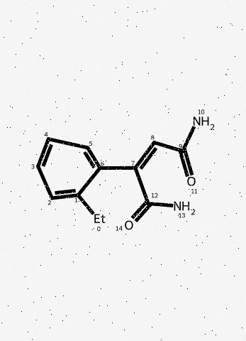 CCc1ccccc1C(=CC(N)=O)C(N)=O